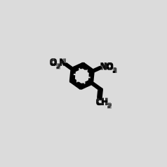 C=Cc1ccc([N+](=O)[O-])cc1[N+](=O)[O-]